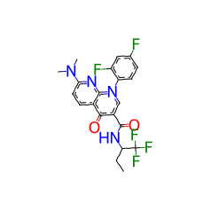 CCC(NC(=O)c1cn(-c2ccc(F)cc2F)c2nc(N(C)C)ccc2c1=O)C(F)(F)F